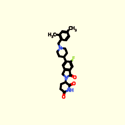 Cc1ccc(CN2CCC(c3cc4c(cc3F)C(=O)N(C3CCC(=O)NC3=O)C4)CC2)c(C)c1